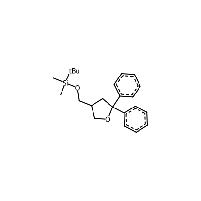 CC(C)(C)[Si](C)(C)OCC1COC(c2ccccc2)(c2ccccc2)C1